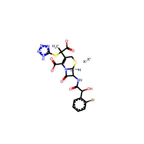 CC(Sc1nnn[nH]1)(C(=O)[O-])C1=C(C(=O)[O-])N2C(=O)C(NC(=O)C(O)c3ccccc3Br)[C@@H]2SC1.[K+].[K+]